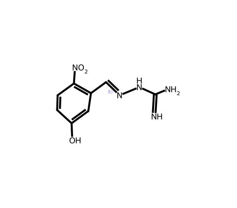 N=C(N)N/N=C/c1cc(O)ccc1[N+](=O)[O-]